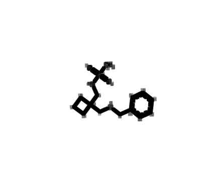 CS(=O)(=O)OCC1(COCc2ccccc2)CCC1